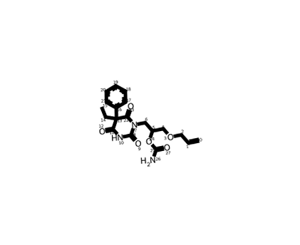 C=CCOCC(CN1C(=O)NC(=O)C(CC)(c2ccccc2)C1=O)OC(N)=O